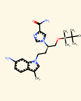 Cc1cn(CC[C@H](CO[Si](C)(C)C(C)(C)C)n2cnc(C(N)=O)c2)c2cc(N)ccc12